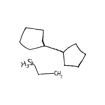 C1CCC(C2CCCC2)C1.CC[SiH3]